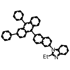 CCc1nc2ccccc2n1-c1ccc2cc(-c3c4ccccc4c(-c4ccccc4)c4cc(-c5ccccc5)ccc34)ccc2c1